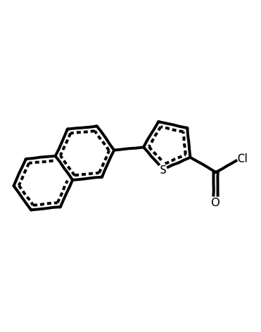 O=C(Cl)c1ccc(-c2ccc3ccccc3c2)s1